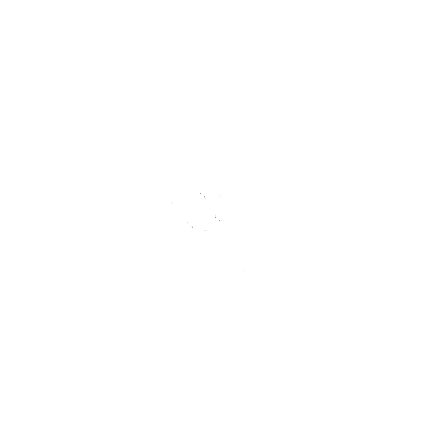 C=CCn1c(=O)n(CCC[Si](OC)(OC)OC)c(=O)n(C2C=C2)c1=O